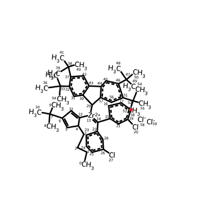 CCCCC1C=C(C(C)(C)C)C=[C]1[Zr+2](=[C](c1cccc(Cl)c1)c1cccc(Cl)c1)[CH]1c2cc(C(C)(C)C)c(C(C)(C)C)cc2-c2cc(C(C)(C)C)c(C(C)(C)C)cc21.[Cl-].[Cl-]